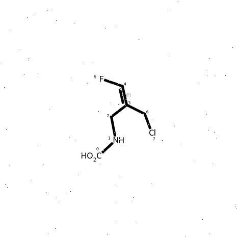 O=C(O)NC/C(=C\F)CCl